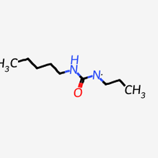 CCCCCNC(=O)[N]CCC